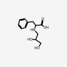 O=C(O)C(Cc1ccccc1)NCC(O)CO